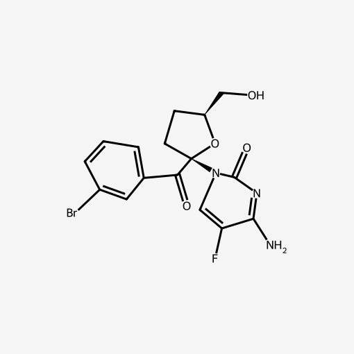 Nc1nc(=O)n([C@@]2(C(=O)c3cccc(Br)c3)CC[C@@H](CO)O2)cc1F